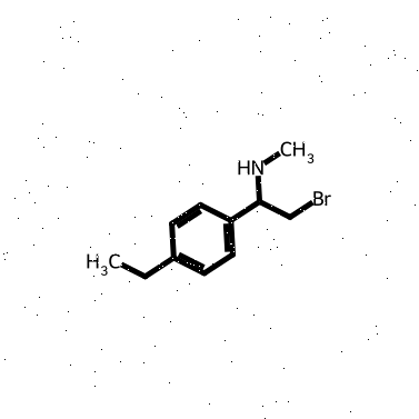 CCc1ccc(C(CBr)NC)cc1